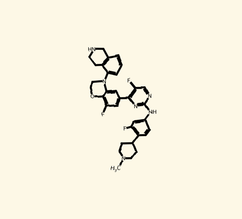 CN1CCC(c2ccc(Nc3ncc(F)c(-c4cc(F)c5c(c4)N(c4cccc6c4CCNC6)CCO5)n3)cc2F)CC1